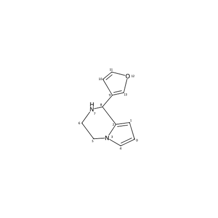 c1cc2n(c1)CCNC2c1ccoc1